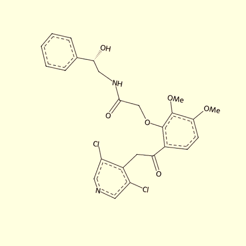 COc1ccc(C(=O)Cc2c(Cl)cncc2Cl)c(OCC(=O)NC[C@@H](O)c2ccccc2)c1OC